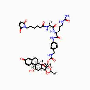 CCCC1O[C@@H]2CC3[C@@H]4CCC5=CC(=O)C=C[C@]5(C)[C@H]4[C@@H](O)C[C@]3(C)[C@]2(C(=O)COC(=O)NCc2ccc(NC(=O)[C@H](CCCNC(N)=O)NC(=O)[C@@H](NC(=O)CCCCCN3C(=O)C=CC3=O)C(C)C)cc2)O1